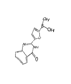 O=c1[nH]c(-c2ccc(B(O)O)o2)nc2ccccc12